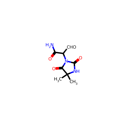 CC1(C)NC(=O)N(C(C=O)C(N)=O)C1=O